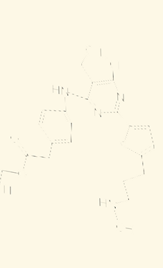 CCOC(=O)Cc1ccc(Nc2nc(-c3ccc(CCCNC)s3)nc(C)c2CC)cc1